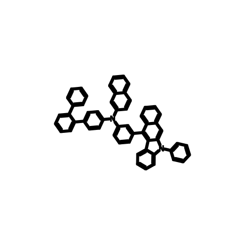 c1ccc(-c2ccccc2-c2ccc(N(c3cccc(-c4c5ccccc5cc5c4c4ccccc4n5-c4ccccc4)c3)c3ccc4ccccc4c3)cc2)cc1